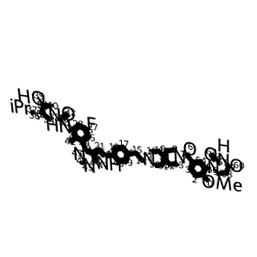 COc1ccc(C(=O)N2CCC3(CCN(CCc4ccc(-c5cc6c(-c7cc(F)cc(NC(=O)N8C[C@H](CC(C)C)[C@@H](O)C8)c7C)ncnc6[nH]5)cc4)CC3)CC2)cc1N1CCC(=O)NC1=O